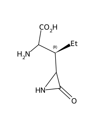 CC[C@H](C(N)C(=O)O)C1NC1=O